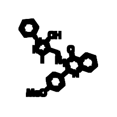 COc1ccc(-c2nc3ccccc3c(=O)n2/N=C/c2c(C)nn(-c3ccccc3)c2O)cc1